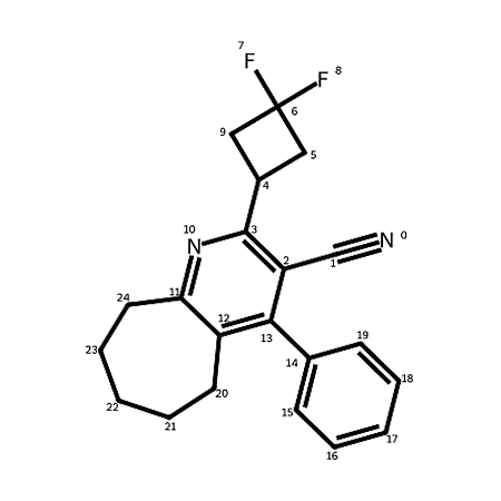 N#Cc1c(C2CC(F)(F)C2)nc2c(c1-c1ccccc1)CCCCC2